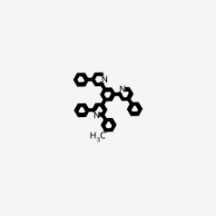 CC1C=C(c2cc(C3C=C(C4CC(c5ccccc5)=CC=N4)C=C(C4=NCCC(C5=CCCC=C5)C4)C3)cc(-c3ccccc3)n2)C=CC1